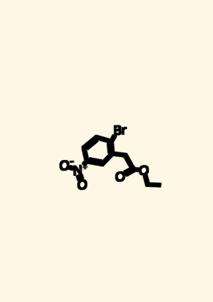 CCOC(=O)Cc1cc([N+](=O)[O-])ccc1Br